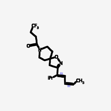 C/C=C\C=C(\C1=NOC2(CCN(C(=O)CCC(F)(F)F)CC2)C1)C(C)C